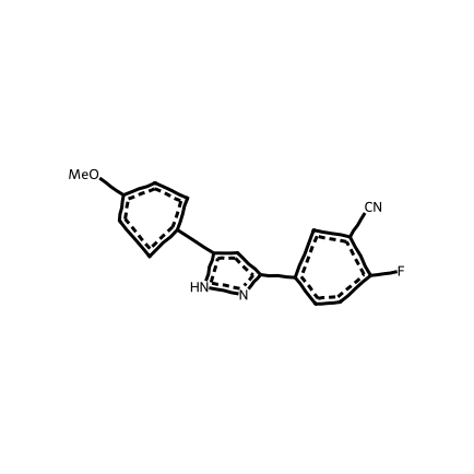 COc1ccc(-c2cc(-c3ccc(F)c(C#N)c3)n[nH]2)cc1